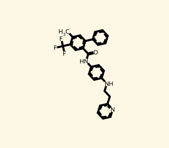 Cc1cc(-c2ccccc2)c(C(=O)Nc2ccc(NCCc3ccccn3)cc2)cc1C(F)(F)F